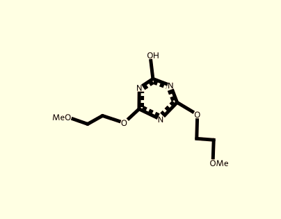 COCCOc1nc(O)nc(OCCOC)n1